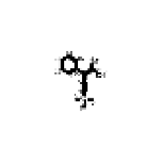 C[Si](C)(C)C#CC(=C(Br)Br)c1ccccc1